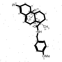 COc1ccc(CNC(=O)[C@]2(C)CCC[C@@]3(C)[C@H]2CC=C2C=C(C(C)C)CC[C@@H]23)cc1